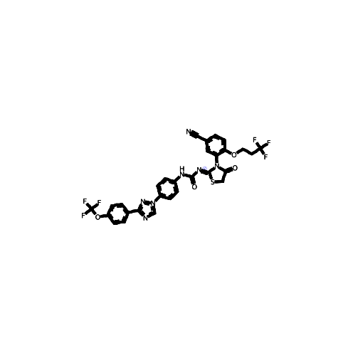 N#Cc1ccc(OCCC(F)(F)F)c(N2C(=O)CS/C2=N\C(=O)Nc2ccc(-n3cnc(-c4ccc(OC(F)(F)F)cc4)n3)cc2)c1